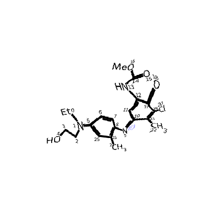 CCN(CCO)c1ccc(/N=C2\C=C(NC(=O)OC)C(=O)C(Cl)=C2C)c(C)c1